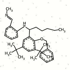 CCCCCC(Pc1ccccc1/C=N/C)c1cc(C(C)(C)C)cc(C(C)(C)C)c1OCc1ccccc1